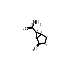 NC(=O)C1C2CCC(=O)C21